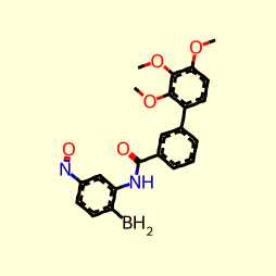 Bc1ccc(N=O)cc1NC(=O)c1cccc(-c2ccc(OC)c(OC)c2OC)c1